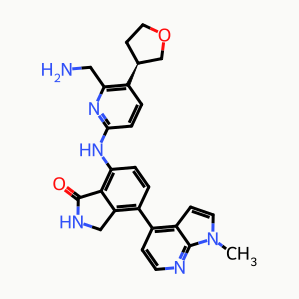 Cn1ccc2c(-c3ccc(Nc4ccc([C@H]5CCOC5)c(CN)n4)c4c3CNC4=O)ccnc21